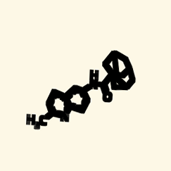 Cc1ccc2cc(NC(=O)C34CC5CC(CC(C5)C3)C4)ccc2n1